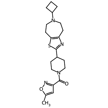 Cc1cc(C(=O)N2CCC(c3nc4c(s3)CCN(C3CCC3)CC4)CC2)no1